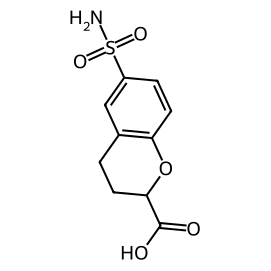 NS(=O)(=O)c1ccc2c(c1)CCC(C(=O)O)O2